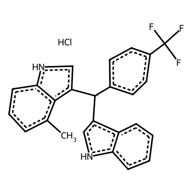 Cc1cccc2[nH]cc([C](c3ccc(C(F)(F)F)cc3)c3c[nH]c4ccccc34)c12.Cl